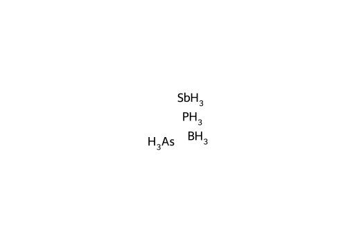 B.P.[AsH3].[SbH3]